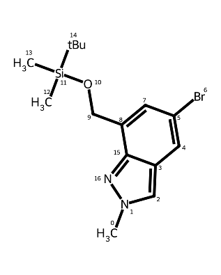 Cn1cc2cc(Br)cc(CO[Si](C)(C)C(C)(C)C)c2n1